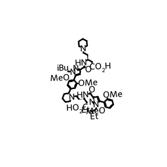 CCC(C)Cn1nc(C(=O)N[C@@H](CCN2CCCCC2)CC(=O)O)cc1-c1c(OC)cc(C2CCCCN2CC[C@@H](CC(=O)O)NC(=O)c2cc(-c3c(OC)cccc3OC)n(CC(CC)CC)n2)cc1OC